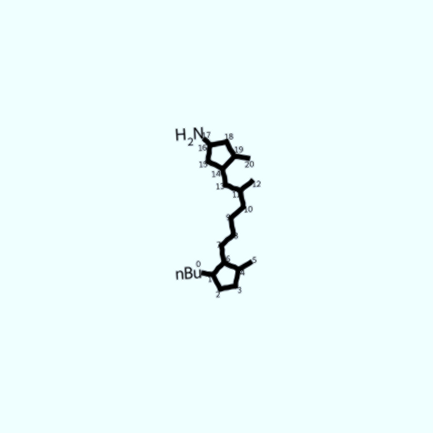 CCCCC1CCC(C)C1CCCCC(C)CC1CC(N)CC1C